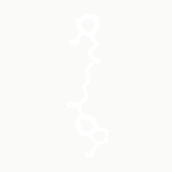 CC(=O)N1CCc2cc(C(=O)CCCCNCCc3ccccc3O)ccc21